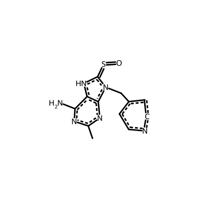 Cc1nc(N)c2[nH]c(=S=O)n(Cc3ccncc3)c2n1